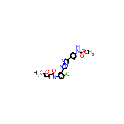 COC(=O)Nc1ccc(-c2cnc3nc(-c4cc(NC(=O)c5ccc(C)o5)ccc4Cl)cn3c2)cc1